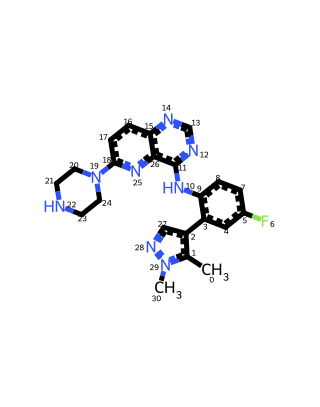 Cc1c(-c2cc(F)ccc2Nc2ncnc3ccc(N4CCNCC4)nc23)cnn1C